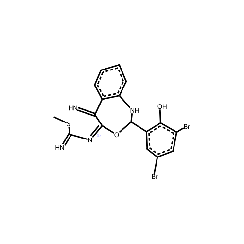 CSC(=N)/N=C1/OC(c2cc(Br)cc(Br)c2O)Nc2ccccc2C1=N